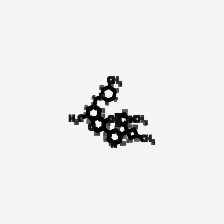 Cc1cc(CN2CCC[C@H](C)C2)cc2c(=O)c(-c3cncc(C4(c5nncn5C)CC(C)C4)c3)coc12